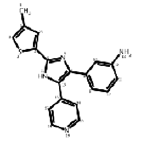 Cc1csc(-c2nc(-c3cccc(N)c3)c(-c3ccncc3)[nH]2)c1